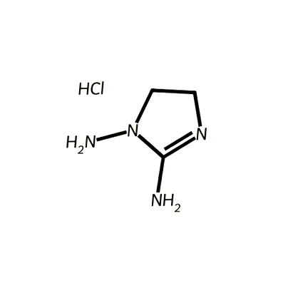 Cl.NC1=NCCN1N